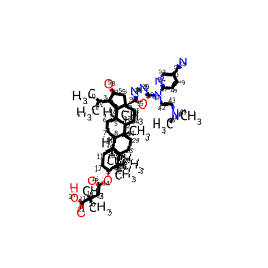 CC(C)C1=C2[C@H]3CC[C@@H]4[C@@]5(C)CC[C@H](OC(=O)CC(C)(C)C(=O)O)C(C)(C)[C@@H]5CC[C@@]4(C)[C@]3(C)CC[C@@]2(c2nnc(N(CCN(C)C)c3ccc(C#N)cn3)o2)CC1=O